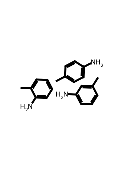 Cc1ccc(N)cc1.Cc1cccc(N)c1.Cc1ccccc1N